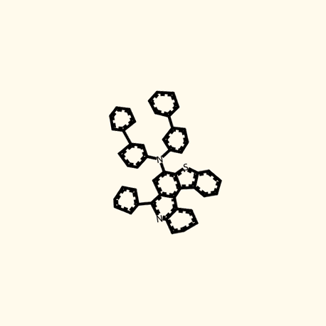 c1ccc(-c2cccc(N(c3cccc(-c4ccccc4)c3)c3cc4c(-c5ccccc5)nc5ccccc5c4c4c3sc3ccccc34)c2)cc1